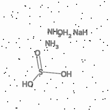 N.N.O.O=S(O)O.[NaH]